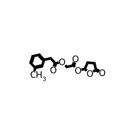 Cc1cccc(CC(=O)OCC(=O)OC2CCC(=O)O2)c1